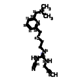 C#CCN/C(=N/CCSCc1cccc(CN(C)C)n1)NC#N